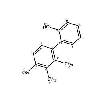 Cc1c(N=O)ccc(-c2ccccc2O)c1C